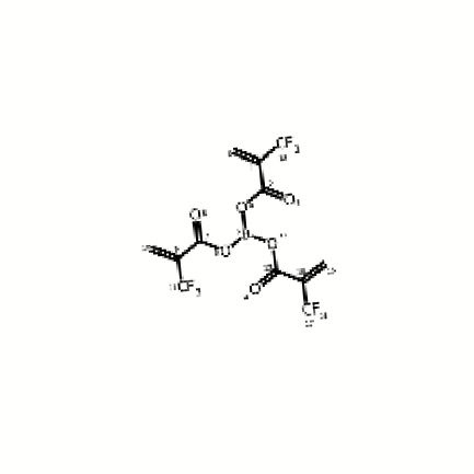 C=C(C(=O)OB(OC(=O)C(=C)C(F)(F)F)OC(=O)C(=C)C(F)(F)F)C(F)(F)F